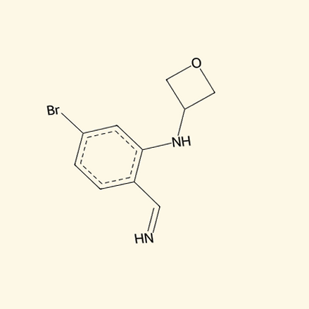 N=Cc1ccc(Br)cc1NC1COC1